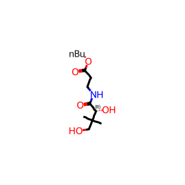 CCCCOC(=O)CCNC(=O)[C@H](O)C(C)(C)CO